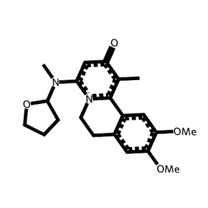 COc1cc2c(cc1OC)-c1c(C)c(=O)cc(N(C)C3CCCO3)n1CC2